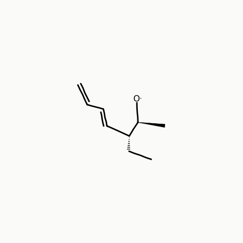 C=C/C=C/[C@@H](CC)[C@H](C)[O]